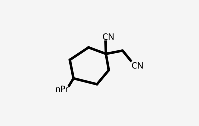 CCCC1CCC(C#N)(CC#N)CC1